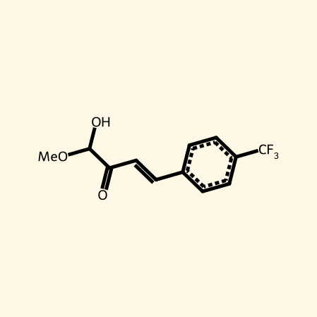 COC(O)C(=O)C=Cc1ccc(C(F)(F)F)cc1